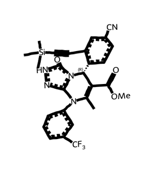 COC(=O)C1=C(C)N(c2cccc(C(F)(F)F)c2)c2n[nH]c(=O)n2[C@@H]1c1ccc(C#N)cc1C#C[Si](C)(C)C